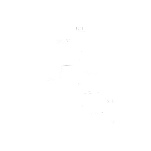 CC1(C)OC(=O)Nc2ccc(/C(=C/C(N)=O)c3ccccc3)cc21